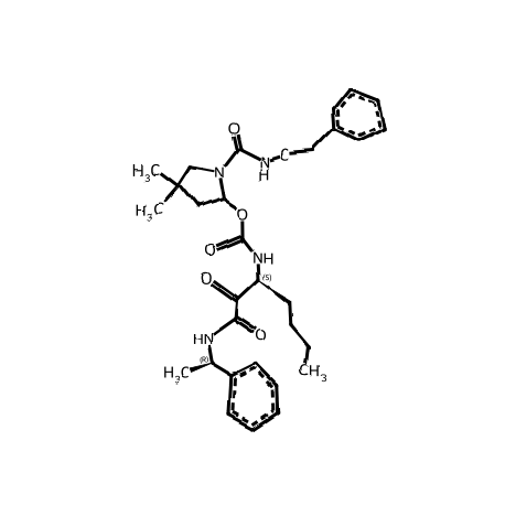 CCCC[C@H](NC(=O)OC1CC(C)(C)CN1C(=O)NCCc1ccccc1)C(=O)C(=O)N[C@H](C)c1ccccc1